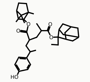 CCC1(OC(=O)C(C)CC(CC(C)c2ccc(O)cc2)C(=O)OC2CC3CCC2(C)C3(C)C)C2CC3CC(C2)CC1C3